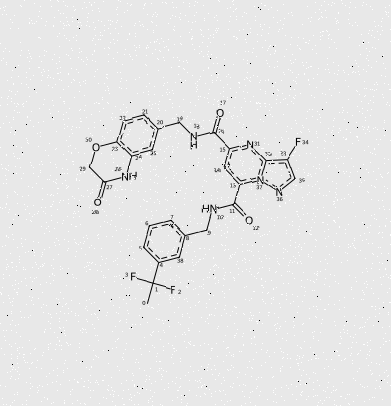 CC(F)(F)c1cccc(CNC(=O)c2cc(C(=O)NCc3ccc4c(c3)NC(=O)CO4)nc3c(F)cnn23)c1